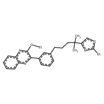 CCOc1nc2ccccc2nc1-c1cccc(CCCC(C)(C)c2csc(CC)n2)c1